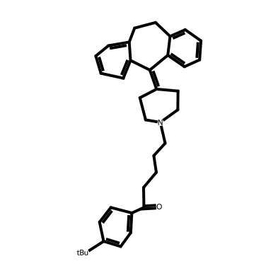 CC(C)(C)c1ccc(C(=O)CCCCN2CCC(=C3c4ccccc4CCc4ccccc43)CC2)cc1